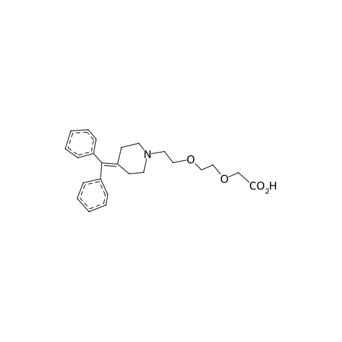 O=C(O)COCCOCCN1CCC(=C(c2ccccc2)c2ccccc2)CC1